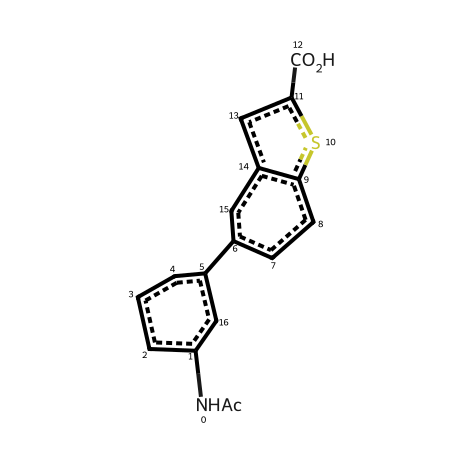 CC(=O)Nc1cccc(-c2ccc3sc(C(=O)O)cc3c2)c1